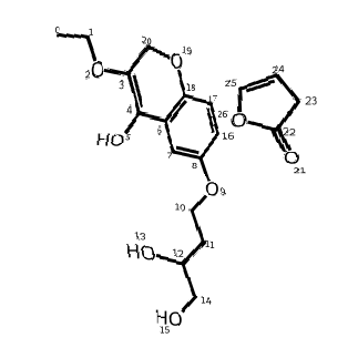 CCOC1=C(O)c2cc(OCCC(O)CO)ccc2OC1.O=C1CC=CO1